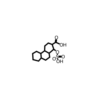 O=C(O)C1CCC2C3CCCCC3CCC2C1OS(=O)(=O)O